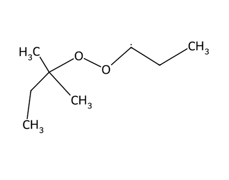 CC[CH]OOC(C)(C)CC